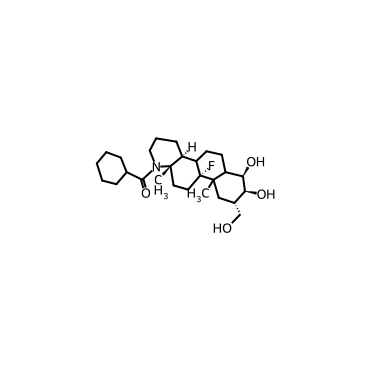 CC12C[C@@H](CO)[C@H](O)[C@H](O)C1CCC1[C@@H]3CCCN(C(=O)C4CCCCC4)[C@@]3(C)CC[C@@]12F